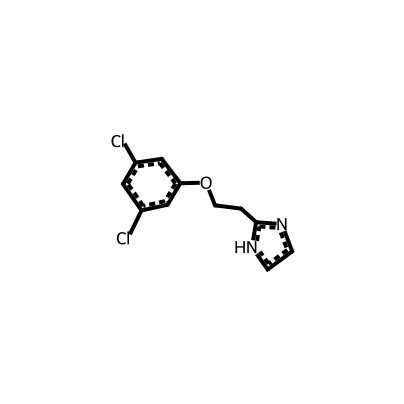 Clc1cc(Cl)cc(OCCc2ncc[nH]2)c1